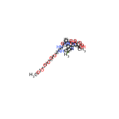 CCOCCOCCOCCOCCOCCOCCCNCCNCC(=O)Nc1ccccc1N(C(=O)O)[C@H]1CCc2c(C)c(F)cc3nc4c(c1c23)Cn1c-4cc2c(c1=O)COC(=O)[C@]2(O)CC